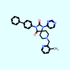 Cc1cccnc1CN1CCC2(CC1)C(=O)N(c1ccc(-c3ccccc3)cc1)C(=O)N2c1ccncn1